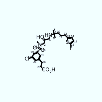 CN(CC(O)CNC(C)(C)CCCc1ccc(F)s1)S(=O)(=O)c1cc(Cl)cc(CCC(=O)O)c1